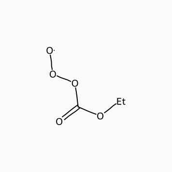 CCOC(=O)OO[O]